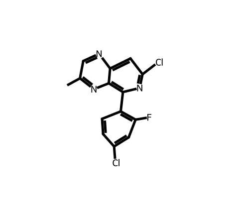 Cc1cnc2cc(Cl)nc(-c3ccc(Cl)cc3F)c2n1